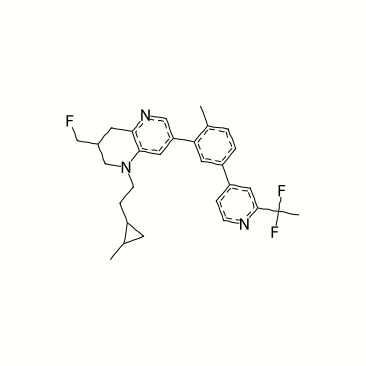 Cc1ccc(-c2ccnc(C(C)(F)F)c2)cc1-c1cnc2c(c1)N(CCC1CC1C)CC(CF)C2